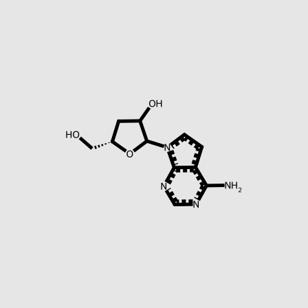 Nc1ncnc2c1ccn2C1O[C@H](CO)CC1O